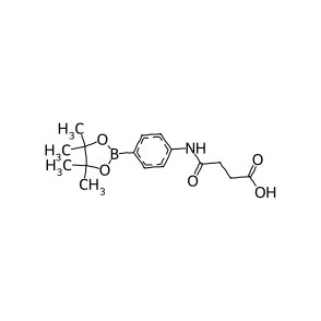 CC1(C)OB(c2ccc(NC(=O)CCC(=O)O)cc2)OC1(C)C